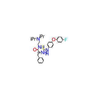 CC(C)N(CCNC(=O)[C@H](Cc1ccccc1)NC(=S)Nc1ccc(Oc2ccc(F)cc2)cc1)C(C)C